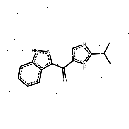 CC(C)c1ncc(C(=O)c2n[nH]c3ccccc23)[nH]1